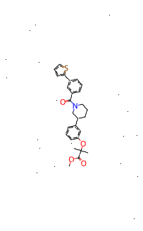 COC(=O)C(C)(C)Oc1cccc(C2CCCN(C(=O)c3cccc(-c4cccs4)c3)C2)c1